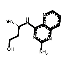 CCC[C@@H](CCO)Nc1nc(N)nc2cccnc12